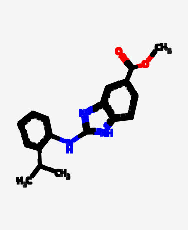 COC(=O)c1ccc2[nH]c(Nc3ccccc3C(C)C)nc2c1